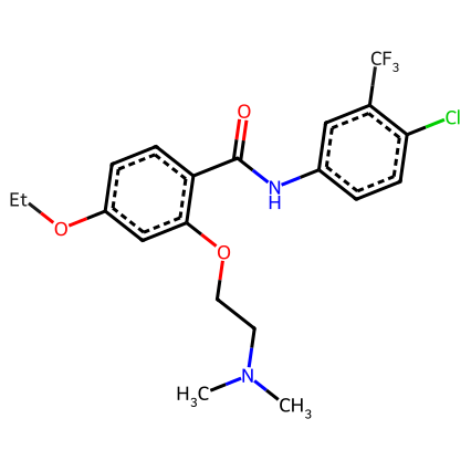 CCOc1ccc(C(=O)Nc2ccc(Cl)c(C(F)(F)F)c2)c(OCCN(C)C)c1